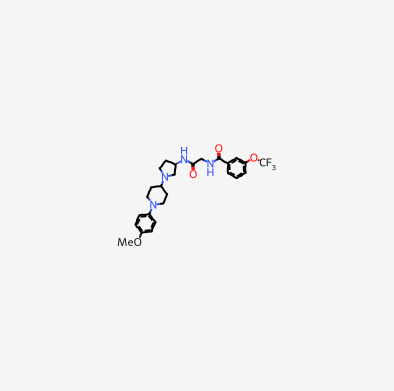 COc1ccc(N2CCC(N3CC[C@@H](NC(=O)CNC(=O)c4cccc(OC(F)(F)F)c4)C3)CC2)cc1